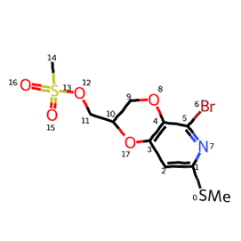 CSc1cc2c(c(Br)n1)OCC(COS(C)(=O)=O)O2